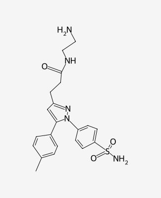 Cc1ccc(-c2cc(CCC(=O)NCCN)nn2-c2ccc(S(N)(=O)=O)cc2)cc1